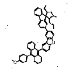 CCCC1C(C)CC(CC)C12c1ccccc1-c1ccc(-c3ccc4oc5ccc(-c6c7ccccc7c(-c7ccc(OC)cc7)c7ccccc67)cc5c4c3)cc12